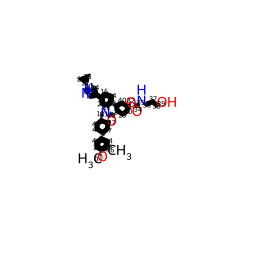 COc1ccc([C@H]2CC[C@H](CN(c3cccc(-c4cnn(C5CC5)c4)c3)C(=O)[C@H]3CC[C@H](OC(=O)NCCCO)CC3)CC2)cc1C